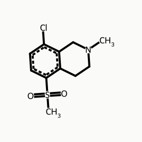 CN1CCc2c(S(C)(=O)=O)ccc(Cl)c2C1